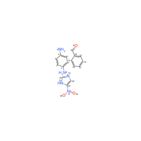 Nc1ccc(N)cc1.O=Cc1ccccc1.O=[N+]([O-])c1cnc[nH]1